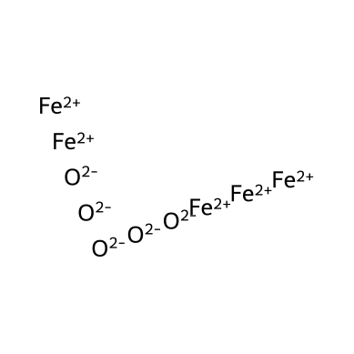 [Fe+2].[Fe+2].[Fe+2].[Fe+2].[Fe+2].[O-2].[O-2].[O-2].[O-2].[O-2]